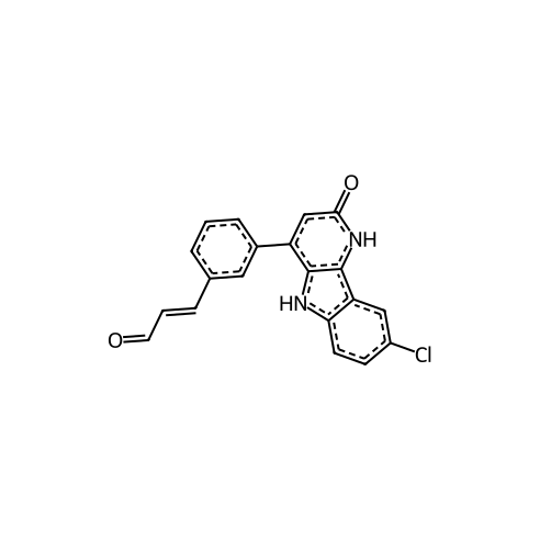 O=CC=Cc1cccc(-c2cc(=O)[nH]c3c2[nH]c2ccc(Cl)cc23)c1